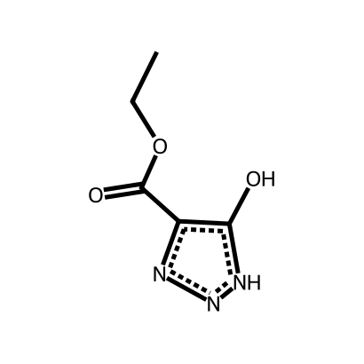 CCOC(=O)c1nn[nH]c1O